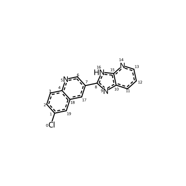 Clc1ccc2ncc(-c3nc4cccnc4[nH]3)cc2c1